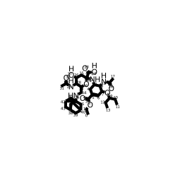 CCOC(=O)C1=CC(OC(CC)CC)C(NC(C)=O)C(NC2(C(=O)O)CC(O)C(NC(C)=O)C(CNC34CC5CC(CC(C5)C3)C4)O2)C1